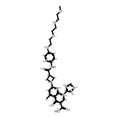 COCCOCCOCCOc1ccc(NC(=O)C2CN(c3cc(C)c4c(=O)c(C(=O)O)cn(-c5ncns5)c4n3)C2)nc1